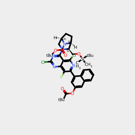 CC(C)(C)OC(=O)N1[C@@H]2CC[C@H]1[C@@H](CO[Si](C)(C)C(C)(C)C)N(c1nc(Cl)nc3c(F)c(-c4cc(OC(=O)C(C)(C)C)cc5ccccc45)nc(Cl)c13)C2